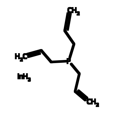 C=CCP(CC=C)CC=C.[InH3]